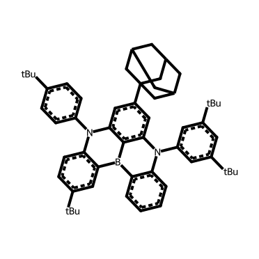 CC(C)(C)c1ccc(N2c3ccc(C(C)(C)C)cc3B3c4ccccc4N(c4cc(C(C)(C)C)cc(C(C)(C)C)c4)c4cc(C56CC7CC(CC(C7)C5)C6)cc2c43)cc1